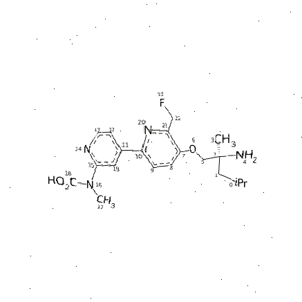 CC(C)C[C@](C)(N)COc1ccc(-c2ccnc(N(C)C(=O)O)c2)nc1CF